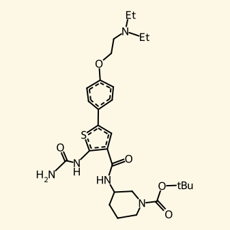 CCN(CC)CCOc1ccc(-c2cc(C(=O)NC3CCCN(C(=O)OC(C)(C)C)C3)c(NC(N)=O)s2)cc1